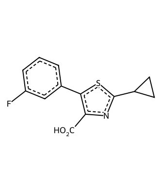 O=C(O)c1nc(C2CC2)sc1-c1cccc(F)c1